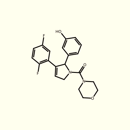 O=C(N1CCOCC1)N1CC=C(c2cc(F)ccc2F)C1c1cccc(O)c1